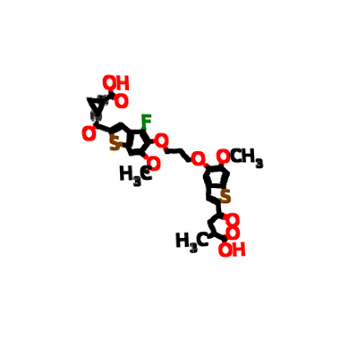 COc1cc2sc(C(=O)CC(C)C(=O)O)cc2cc1OCCCOc1c(OC)cc2sc(C(=O)[C@@H]3C[C@H]3C(=O)O)cc2c1F